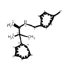 C=C(NCc1ccc(F)cc1)C(C)(C)c1ccccc1